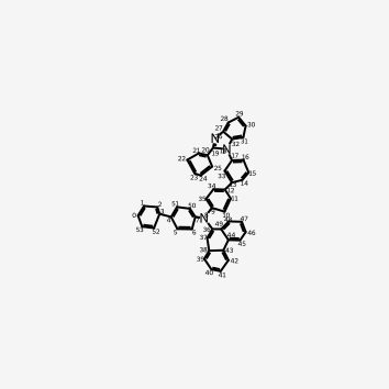 c1ccc(-c2ccc(N(c3ccc(-c4cccc(-n5c(-c6ccccc6)nc6ccccc65)c4)cc3)c3cc4ccccc4c4ccccc34)cc2)cc1